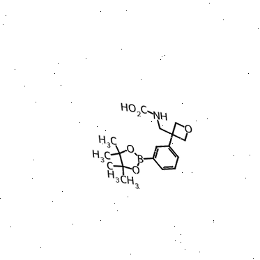 CC1(C)OB(c2cccc(C3(CNC(=O)O)COC3)c2)OC1(C)C